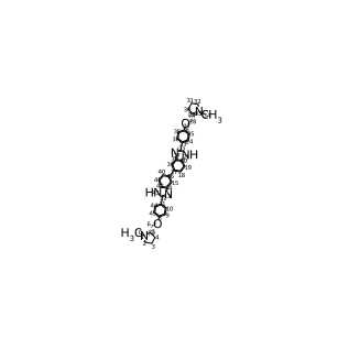 CN1CCC[C@H]1COc1ccc(-c2nc3cc(-c4ccc5[nH]c(-c6ccc(OC[C@@H]7CCCN7C)cc6)nc5c4)ccc3[nH]2)cc1